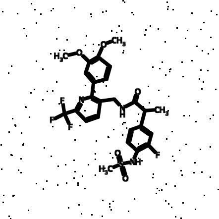 COc1ccc(-c2nc(C(F)(F)F)ccc2CNC(=O)C(C)c2ccc(NS(C)(=O)=O)c(F)c2)cc1OC